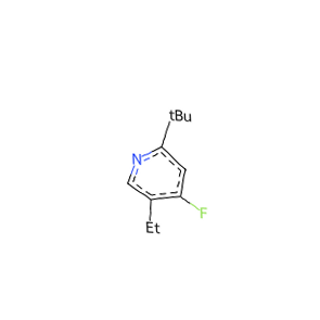 CCc1cnc(C(C)(C)C)cc1F